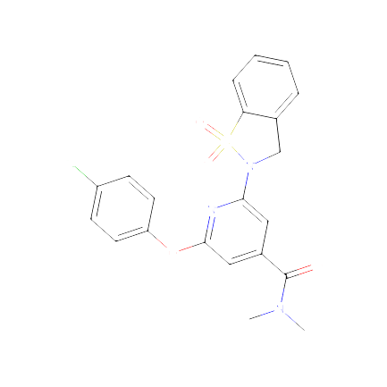 CN(C)C(=O)c1cc(Oc2ccc(Cl)cc2)nc(N2Cc3ccccc3S2(=O)=O)c1